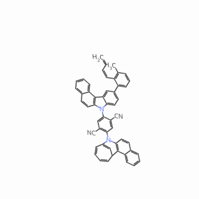 C=C/C=C\c1c(C)cccc1-c1ccc2c(c1)c1c3ccccc3ccc1n2-c1cc(C#N)c(N2C3=CC(C=CC=C3)c3c2ccc2ccccc32)cc1C#N